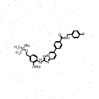 COc1cc(CO[Si](C)(C)C(C)(C)C)ccc1Nc1nc2ccc(-c3ccc(C(=O)NCc4ccc(F)cc4)cc3)cn2n1